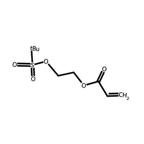 C=CC(=O)OCCOS(=O)(=O)C(C)(C)C